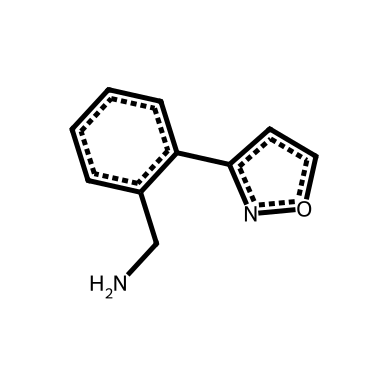 NCc1ccccc1-c1ccon1